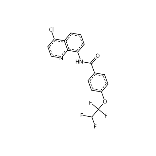 O=C(Nc1cccc2c(Cl)ccnc12)c1ccc(OC(F)(F)C(F)F)cc1